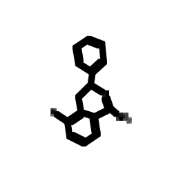 NC1=NC(c2ccccc2)Cc2c(F)cccc21